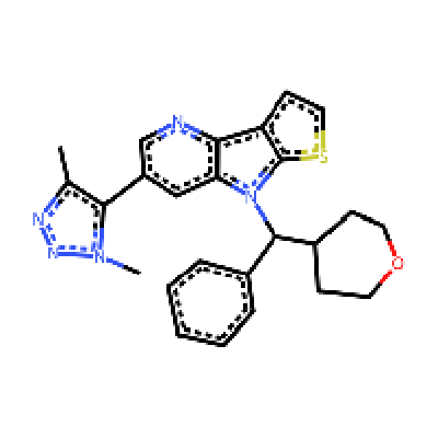 Cc1nnn(C)c1-c1cnc2c3ccsc3n(C(c3ccccc3)C3CCOCC3)c2c1